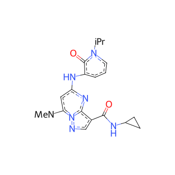 CNc1cc(Nc2cccn(C(C)C)c2=O)nc2c(C(=O)NC3CC3)cnn12